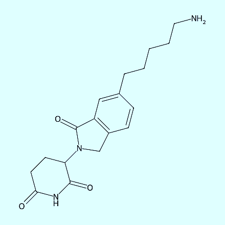 NCCCCCc1ccc2c(c1)C(=O)N(C1CCC(=O)NC1=O)C2